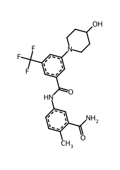 Cc1ccc(NC(=O)c2cc(N3CCC(O)CC3)cc(C(F)(F)F)c2)cc1C(N)=O